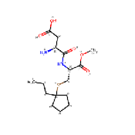 CCCC1(SC[C@H](NC(=O)[C@@H](N)CC(=O)O)C(=O)OC)CCCC1